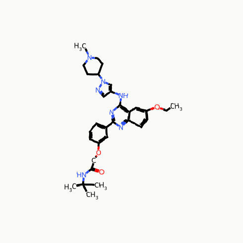 CCOc1ccc2nc(-c3cccc(OCC(=O)NC(C)(C)C)c3)nc(Nc3cnn(C4CCN(C)CC4)c3)c2c1